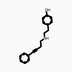 Oc1ccc(CCNCCC#Cc2ccccc2)cc1